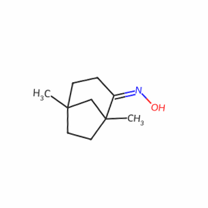 CC12CC/C(=N/O)C(C)(CC1)C2